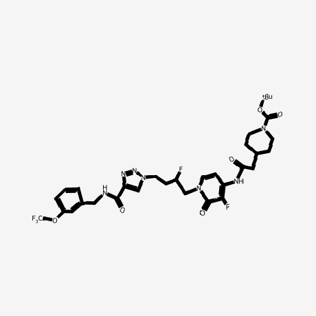 CC(C)(C)OC(=O)N1CCC(CC(=O)Nc2ccn(CC(F)CCn3cc(C(=O)NCc4cccc(OC(F)(F)F)c4)nn3)c(=O)c2F)CC1